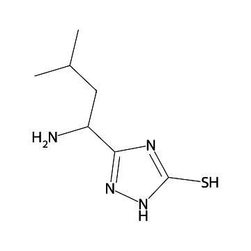 CC(C)CC(N)c1n[nH]c(S)n1